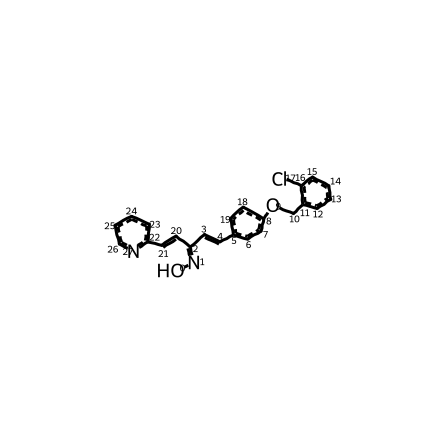 ON=C(C=Cc1ccc(OCc2ccccc2Cl)cc1)C=Cc1ccccn1